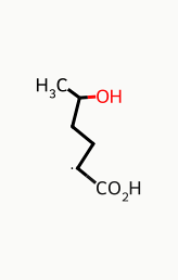 CC(O)CC[CH]C(=O)O